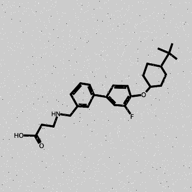 CC(C)(C)C1CCC(Oc2ccc(-c3cccc(CNCCC(=O)O)c3)cc2F)CC1